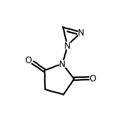 O=C1CCC(=O)N1N1C=N1